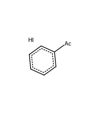 CC(=O)c1ccccc1.I